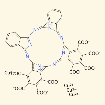 O=C([O-])c1c(C(=O)[O-])c(C(=O)[O-])c2c(c1C(=O)[O-])-c1nc-2nc2[nH]c(nc3nc(nc4[nH]c(n1)c1ccccc41)-c1ccccc1-3)c1c(C(=O)[O-])c(C(=O)[O-])c(C(=O)[O-])c(C(=O)[O-])c21.[Cu+2].[Cu+2].[Cu+2].[Cu+2]